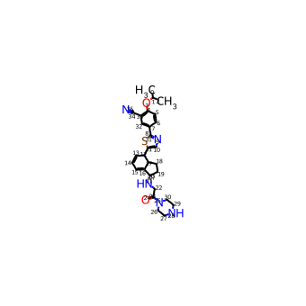 CC(C)Oc1ccc(-c2ncc(C3C=CC=C4C3CC[C@@H]4NCC(=O)N3CCNCC3)s2)cc1C#N